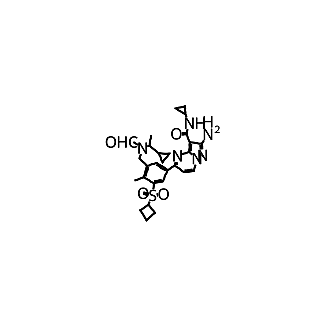 Cc1c(CN(C=O)C(C)C2CC2)cc(-c2ccn3nc(N)c(C(=O)NC4CC4)c3n2)cc1S(=O)(=O)C1CCC1